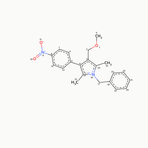 COCc1c(-c2ccc([N+](=O)[O-])cc2)c(C)n(Cc2ccccc2)c1C